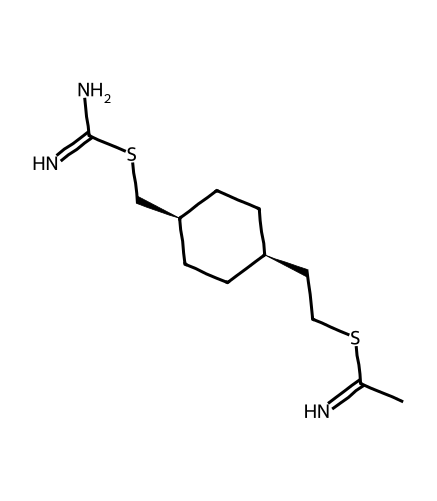 CC(=N)SCC[C@H]1CC[C@@H](CSC(=N)N)CC1